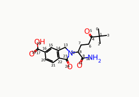 CC(C)(C)C(=O)CCC(C(N)=O)N1Cc2cc(C(=O)O)ccc2C1=O